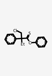 CCC(CCl)(C(=S)Oc1ccccc1)c1ccccc1